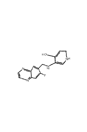 OC1=CCNC=C1NCc1cc2nccnc2cc1F